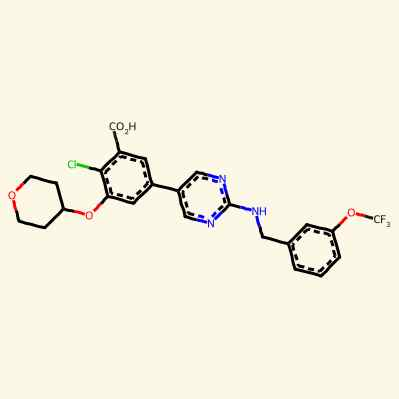 O=C(O)c1cc(-c2cnc(NCc3cccc(OC(F)(F)F)c3)nc2)cc(OC2CCOCC2)c1Cl